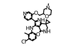 Cc1c(Cl)cccc1Nc1c(-c2ccncc2OCC2CN(C)CCO2)[nH]c2c1C(=O)NCC21CC1